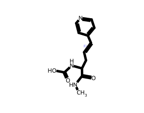 CNC(=O)C(C/C=C/c1ccncc1)NC(=O)O